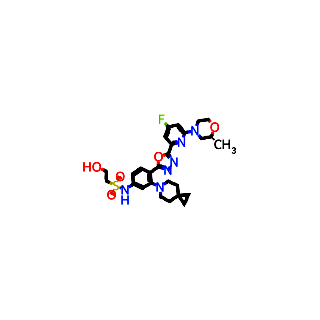 C[C@@H]1CN(c2cc(F)cc(-c3nnc(-c4ccc(NS(=O)(=O)CCO)cc4N4CCC5(CC4)CC5)o3)n2)CCO1